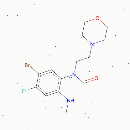 CNc1cc(F)c(Br)cc1N(C=O)CCN1CCOCC1